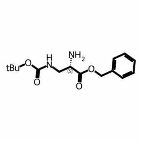 CC(C)(C)OC(=O)NC[C@H](N)C(=O)OCc1ccccc1